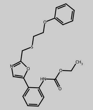 CCOC(=O)Nc1ccccc1-c1cnc(CSCCOc2ccccc2)o1